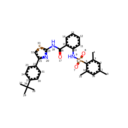 Cc1cc(C)c(S(=O)(=O)Nc2ccccc2C(=O)Nc2nc(-c3ccc(C(C)(C)C)cc3)cs2)c(C)c1